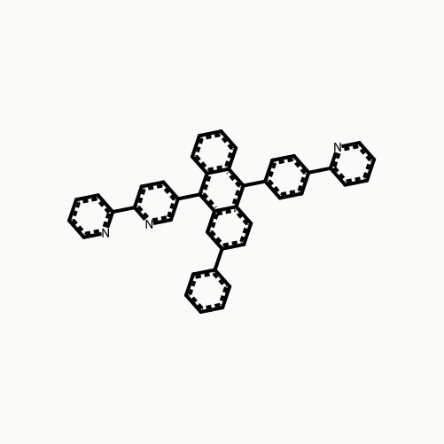 c1ccc(-c2ccc3c(-c4ccc(-c5ccccn5)cc4)c4ccccc4c(-c4ccc(-c5ccccn5)nc4)c3c2)cc1